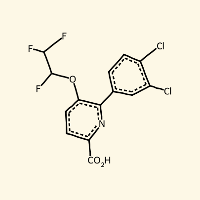 O=C(O)c1ccc(OC(F)C(F)F)c(-c2ccc(Cl)c(Cl)c2)n1